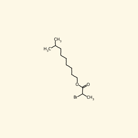 CC(C)CCCCCCCOC(=O)C(C)Br